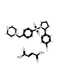 O=C(O)C=CC(=O)O.O=S(=O)(c1ccc(CN2CCOCC2)cc1)N1CCCC1c1ccc(F)cc1